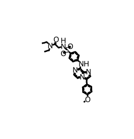 CCN(CC)C(=O)CNS(=O)(=O)c1ccc(Nc2nccn3c(-c4ccc(OC)cc4)cnc23)cc1